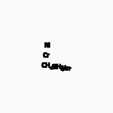 C.[Cr].[Mn].[Ni].[SiH4]